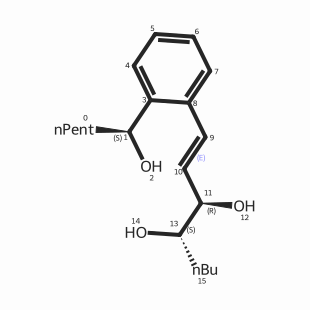 CCCCC[C@H](O)c1ccccc1/C=C/[C@@H](O)[C@@H](O)CCCC